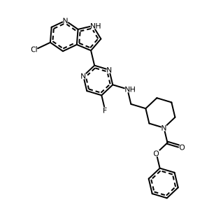 O=C(Oc1ccccc1)N1CCCC(CNc2nc(-c3c[nH]c4ncc(Cl)cc34)ncc2F)C1